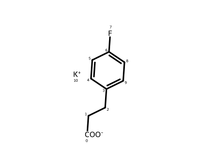 O=C([O-])CCc1ccc(F)cc1.[K+]